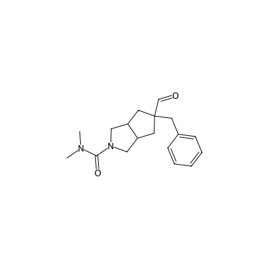 CN(C)C(=O)N1CC2CC(C=O)(Cc3ccccc3)CC2C1